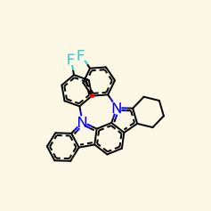 Fc1ccc(-n2c3c(c4ccc5c6ccccc6n(-c6ccc(F)cc6)c5c42)CCCC3)cc1